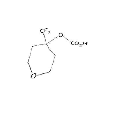 O=C(O)OC1(C(F)(F)F)CCOCC1